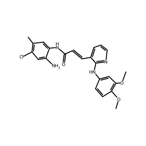 COc1ccc(Nc2ncccc2/C=C/C(=O)Nc2cc(C)c(Cl)cc2N)cc1OC